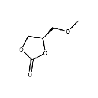 COC[C@@H]1COC(=O)O1